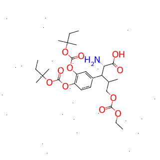 CCOC(=O)OCC(C)C(c1ccc(OC(=O)OC(C)(C)CC)c(OC(=O)OC(C)(C)CC)c1)[C@H](N)C(=O)O